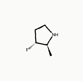 C[C@@H]1NCC[C@H]1F